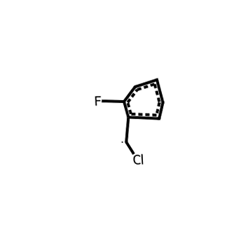 Fc1ccccc1[CH]Cl